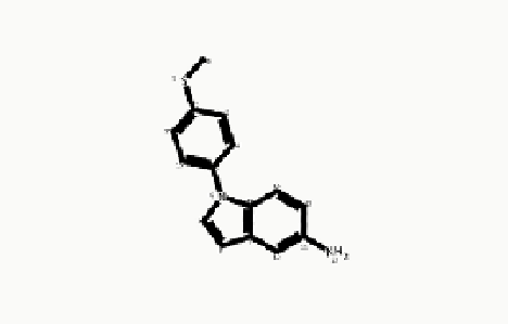 CSc1ccc(-n2ccc3cc(N)ccc32)cc1